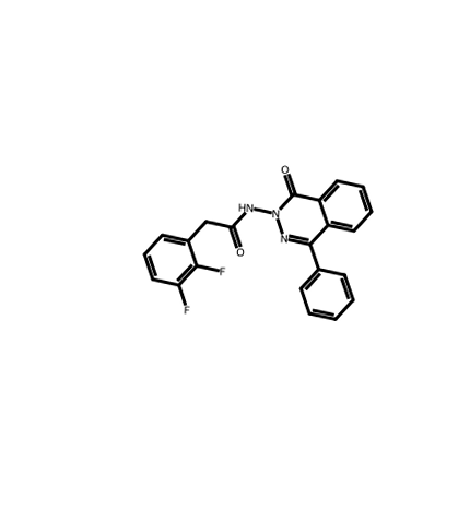 O=C(Cc1cccc(F)c1F)Nn1nc(-c2ccccc2)c2ccccc2c1=O